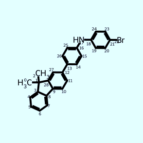 CC1(C)c2ccccc2-c2ccc(-c3ccc(Nc4ccc(Br)cc4)cc3)cc21